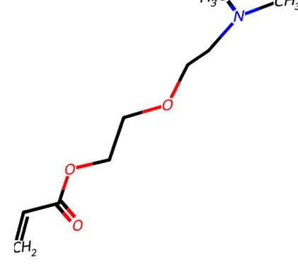 C=CC(=O)OCCOCCN(C)C